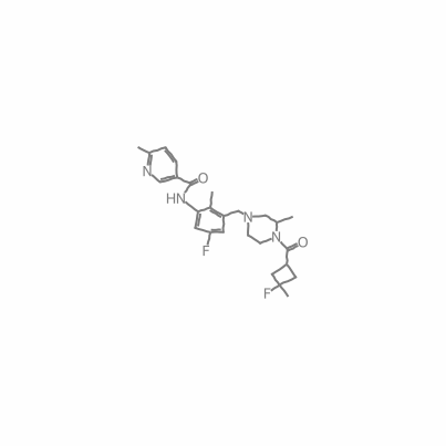 Cc1ccc(C(=O)Nc2cc(F)cc(CN3CCN(C(=O)C4CC(C)(F)C4)C(C)C3)c2C)cn1